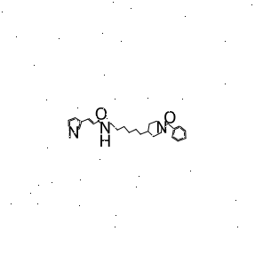 O=C(C=Cc1cccnc1)NCCCCCCC1CCN(C(=O)c2ccccc2)CC1